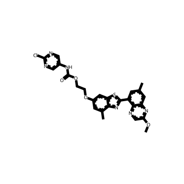 COc1cnc2c(-c3nc4c(C)cc(OCCOC(=O)Nc5cnc(Cl)nc5)cc4s3)cc(C)cc2n1